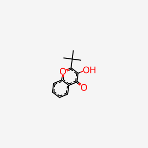 CC(C)(C)c1oc2ccccc2c(=O)c1O